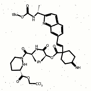 CC(C)[C@H](OC(=O)C1(/C=C/c2ccc3ccc([C@@H](C)NC(=O)OC(C)(C)C)nc3c2)CCC(=N)CC1)C(=O)N[C@@H](C)C(=O)N1CCC[C@@H](C(=O)OCC(Cl)(Cl)Cl)N1